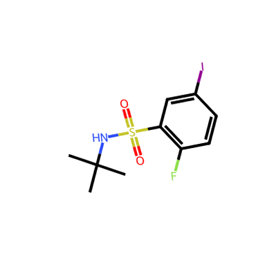 CC(C)(C)NS(=O)(=O)c1cc(I)ccc1F